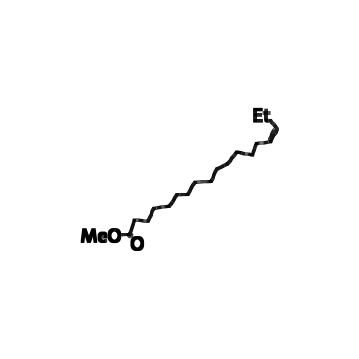 CC/C=C\CCCCCCCCCCCCCC(=O)OC